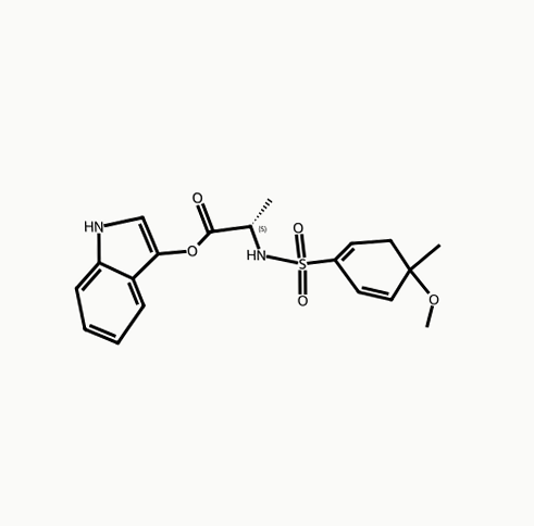 COC1(C)C=CC(S(=O)(=O)N[C@@H](C)C(=O)Oc2c[nH]c3ccccc23)=CC1